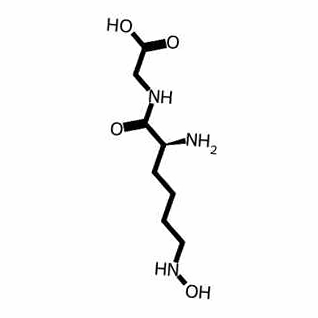 N[C@@H](CCCCNO)C(=O)NCC(=O)O